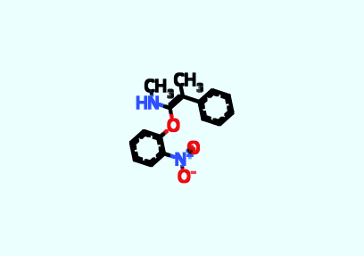 CNC(Oc1ccccc1[N+](=O)[O-])=C(C)c1ccccc1